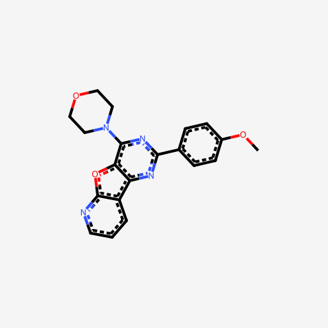 COc1ccc(-c2nc(N3CCOCC3)c3oc4ncccc4c3n2)cc1